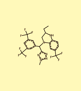 CCC1CN(C(c2cc(C(F)(F)F)cc(C(F)(F)F)c2)c2nnn(C)n2)c2cc(C(F)(F)F)ccc2N1